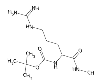 CNC(=O)C(CCCNC(=N)N)NC(=O)OC(C)(C)C